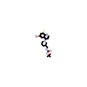 CC(C)(C)OC(=O)/N=C/C1CCCN(c2ccnc3c(F)cc(Br)cc23)C1